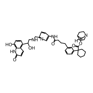 O=C(CCCc1cccc(C2(C(=O)O[C@H]3CN4CCC3CC4)CCCCC2)c1)Nc1ccc(CNCC(O)c2ccc(O)c3[nH]c(=O)ccc23)nc1